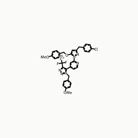 COc1ccc(COc2cc(Cc3ccc(Cl)cc3)nn2-c2cc(-c3c(C(C)(F)F)nnn3Cc3ccc(OC)cc3)ccn2)cc1